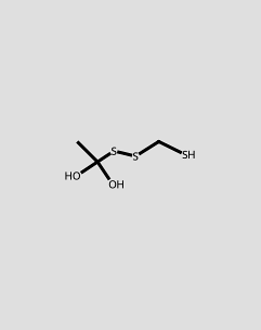 CC(O)(O)SSCS